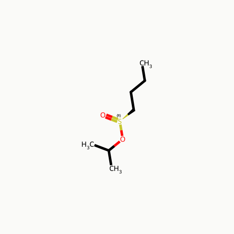 CCCC[S@](=O)OC(C)C